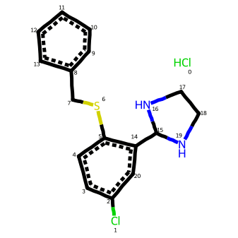 Cl.Clc1ccc(SCc2ccccc2)c(C2NCCN2)c1